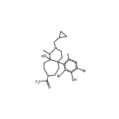 Cc1cc(Br)c(O)c(Br)c1C12CCN(C(=O)C(F)(F)F)CCC1(O)C(C)N(CC1CC1)CC2